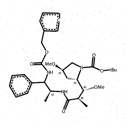 CO[C@@H]1C[C@@H]([C@H](OC)[C@@H](C)C(=O)N[C@@H](C)C(NC(=O)OCc2ccccc2)c2ccccc2)N(C(=O)OC(C)(C)C)C1